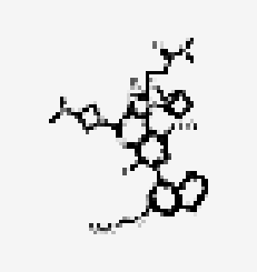 COCOc1cc(-c2cc(C=O)c3c(nc(N4CC(N(C)C)C4)c4nc(CCC(=O)N(C)C)n(C5C6CC5N(C(=O)O)C6)c43)c2F)c2ccccc2c1